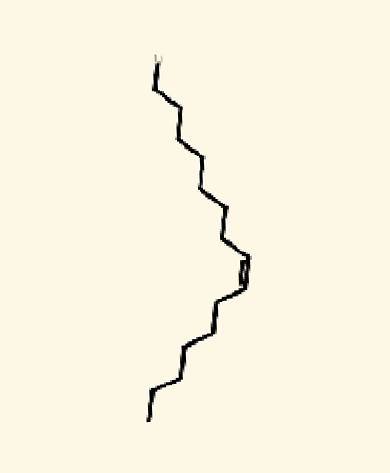 [Li][CH2]CCCCCC/C=C\CCCCCC